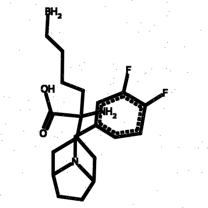 BCCCCC(N)(C(=O)O)C1CC2CCC(C1)N2Cc1ccc(F)c(F)c1